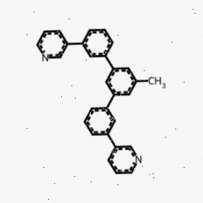 Cc1cc(-c2cccc(-c3cccnc3)c2)cc(-c2cccc(-c3cccnc3)c2)c1